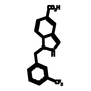 O=C(O)C1=CC2=CNN(Cc3cccc(C(F)(F)F)c3)C2C=C1